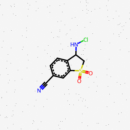 N#Cc1ccc2c(c1)S(=O)(=O)CC2NCl